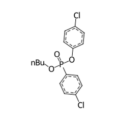 CCCCOP(=O)(Oc1ccc(Cl)cc1)c1ccc(Cl)cc1